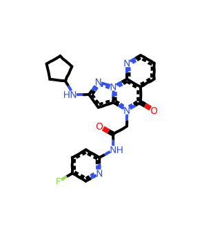 O=C(Cn1c(=O)c2cccnc2n2nc(NC3CCCC3)cc12)Nc1ccc(F)cn1